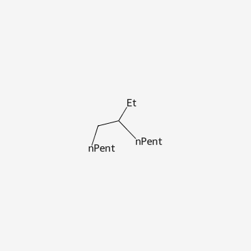 [CH2]CCCCCC(CC)CCCCC